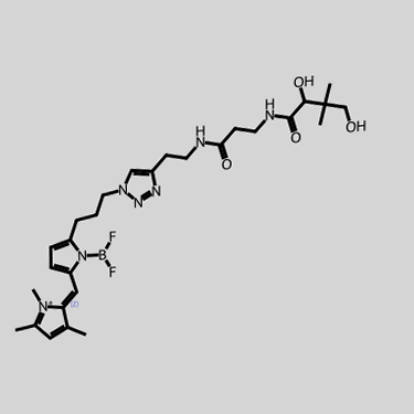 CC1=CC(C)=[N+](C)/C1=C\c1ccc(CCCn2cc(CCNC(=O)CCNC(=O)C(O)C(C)(C)CO)nn2)n1B(F)F